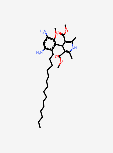 CCCCCCCCCCCCCCCc1c(N)cc(N)c(OC)c1C1C(C(=O)OC)=C(C)NC(C)=C1C(=O)OC